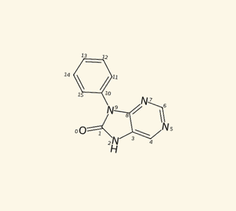 O=c1[nH]c2cncnc2n1-c1ccccc1